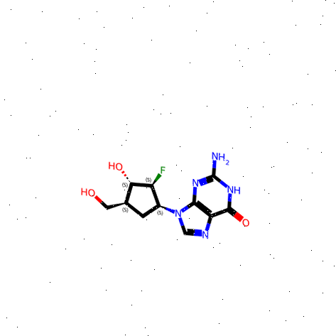 Nc1nc2c(ncn2[C@H]2C[C@@H](CO)[C@H](O)[C@H]2F)c(=O)[nH]1